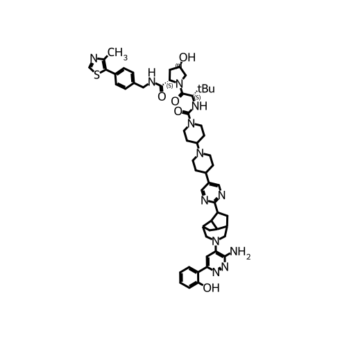 Cc1ncsc1-c1ccc(CNC(=O)[C@@H]2C[C@@H](O)CN2C(=O)[C@@H](NC(=O)N2CCC(N3CCC(c4cnc(C5CC6CN(c7cc(-c8ccccc8O)nnc7N)CC7CC6C75)nc4)CC3)CC2)C(C)(C)C)cc1